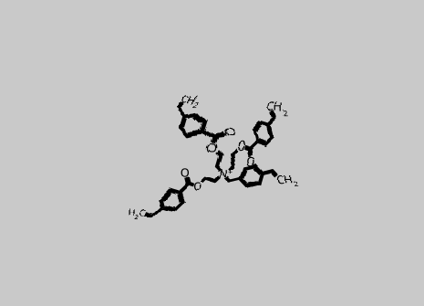 C=Cc1ccc(C[N+](CCOC(=O)c2ccc(C=C)cc2)(CCOC(=O)c2ccc(C=C)cc2)CCOC(=O)c2ccc(C=C)cc2)cc1